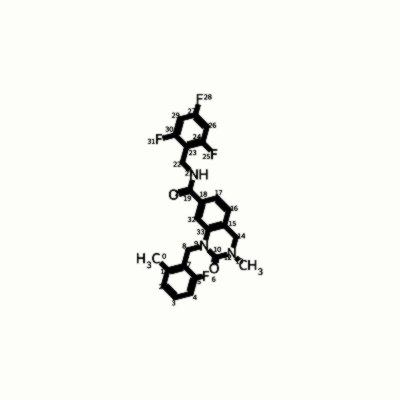 Cc1cccc(F)c1CN1C(=O)N(C)Cc2ccc(C(=O)NCc3c(F)cc(F)cc3F)cc21